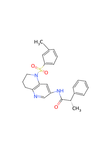 Cc1cccc(S(=O)(=O)N2CCCc3ncc(NC(=O)[C@@H](C)c4ccccc4)cc32)c1